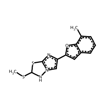 CSC1Nn2cc(-c3cc4cccc(C)c4o3)nc2S1